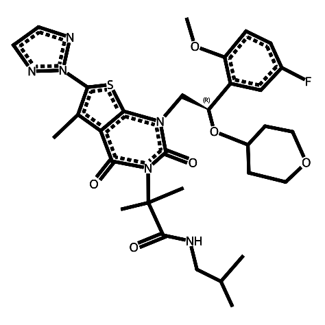 COc1ccc(F)cc1[C@H](Cn1c(=O)n(C(C)(C)C(=O)NCC(C)C)c(=O)c2c(C)c(-n3nccn3)sc21)OC1CCOCC1